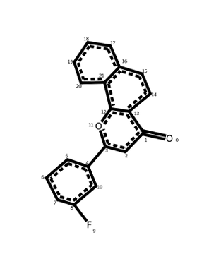 O=c1cc(-c2cccc(F)c2)oc2c1ccc1ccccc12